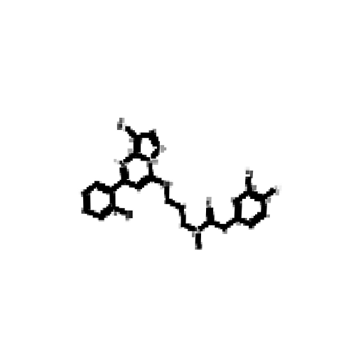 CN(CCCNc1cc(-c2ccccc2Cl)nc2c(Br)cnn12)C(=O)Cc1ccc(Cl)c(Cl)c1